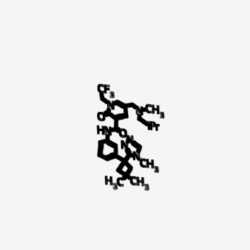 CC(C)CN(C)Cc1cc(C(=O)Nc2cccc(C3(c4nncn4C)CC(C)(C)C3)c2)c(=O)n(CC(F)(F)F)c1